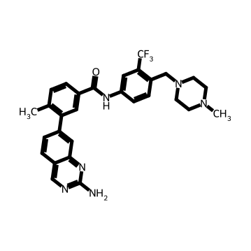 Cc1ccc(C(=O)Nc2ccc(CN3CCN(C)CC3)c(C(F)(F)F)c2)cc1-c1ccc2cnc(N)nc2c1